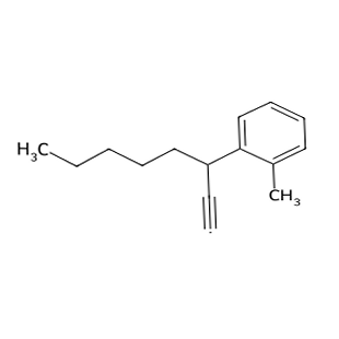 [C]#CC(CCCCC)c1ccccc1C